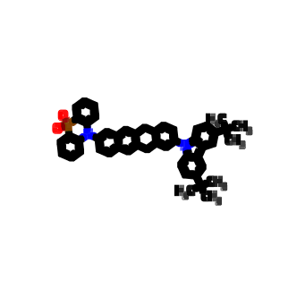 CC(C)(C)c1ccc2c(c1)c1cc(C(C)(C)C)ccc1n2-c1ccc2c(c1)Cc1cc3ccc(N4c5ccccc5S(=O)(=O)c5ccccc54)cc3cc1C2